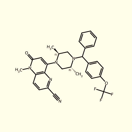 C[C@@H]1CN(c2cc(=O)n(C)c3ccc(C#N)nc23)[C@@H](C)CN1C(c1ccccc1)c1ccc(OC(F)(F)F)cc1